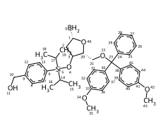 B[C@H]1CC(O[Si](c2ccc(CO)cc2)(C(C)C)C(C)C)[C@@H](COC(c2ccccc2)(c2ccc(OC)cc2)c2ccc(OC)cc2)O1